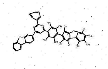 Oc1c(O)c(-c2c(O)c(O)c3c(sc4c(O)c(O)c(O)c(O)c43)c2O)c(O)c(O)c1-c1nc(-c2ccccc2)nc(-c2ccc3c(c2)oc2ccccc23)n1